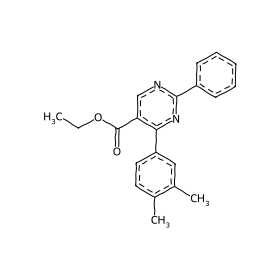 CCOC(=O)c1cnc(-c2ccccc2)nc1-c1ccc(C)c(C)c1